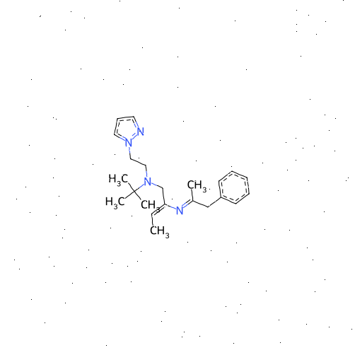 C/C=C(CN(CCn1cccn1)C(C)(C)C)\N=C(/C)Cc1ccccc1